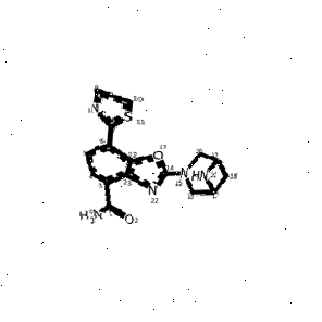 NC(=O)c1ccc(-c2nccs2)c2oc(N3CC4CC(C3)N4)nc12